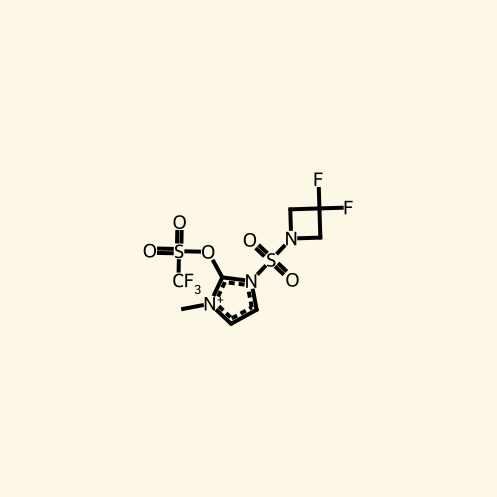 C[n+]1ccn(S(=O)(=O)N2CC(F)(F)C2)c1OS(=O)(=O)C(F)(F)F